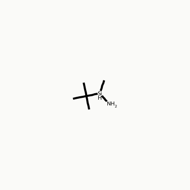 C[SiH](N)C(C)(C)C